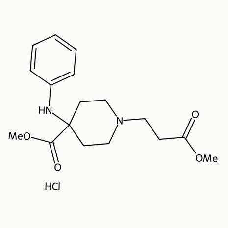 COC(=O)CCN1CCC(Nc2ccccc2)(C(=O)OC)CC1.Cl